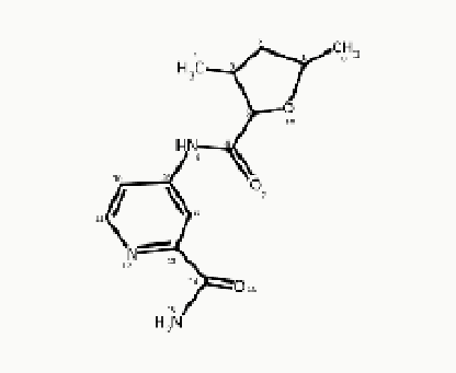 CC1CC(C)C(C(=O)Nc2ccnc(C(N)=O)c2)O1